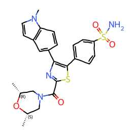 C[C@@H]1CN(C(=O)c2nc(-c3ccc4c(ccn4C)c3)c(-c3ccc(S(N)(=O)=O)cc3)s2)C[C@H](C)O1